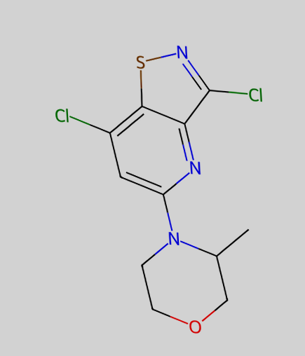 CC1COCCN1c1cc(Cl)c2snc(Cl)c2n1